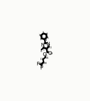 Cc1nc(-c2ccccc2)ncc1C(=O)OCCC=C(F)F